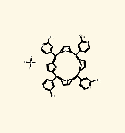 Cc1cc(-c2c3nc(c(-c4ccnc(C)c4)c4ccc([nH]4)c(-c4ccnc(C)c4)c4nc(c(-c5ccnc(C)c5)c5ccc2[nH]5)C=C4)C=C3)ccn1.F[B-](F)(F)F